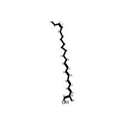 CC/C=C\CCCCCCCCC=CC=CC=CC=CC(C)=CO